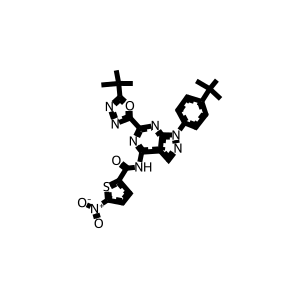 CC(C)(C)c1ccc(-n2ncc3c(NC(=O)c4ccc([N+](=O)[O-])s4)nc(-c4nnc(C(C)(C)C)o4)nc32)cc1